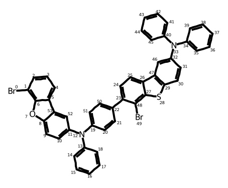 Brc1cccc2c1oc1ccc(N(c3ccccc3)c3ccc(-c4ccc5c(sc6ccc(N(c7ccccc7)c7ccccc7)cc65)c4Br)cc3)cc12